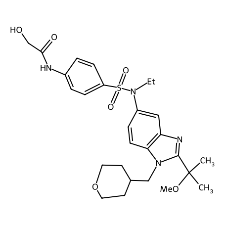 CCN(c1ccc2c(c1)nc(C(C)(C)OC)n2CC1CCOCC1)S(=O)(=O)c1ccc(NC(=O)CO)cc1